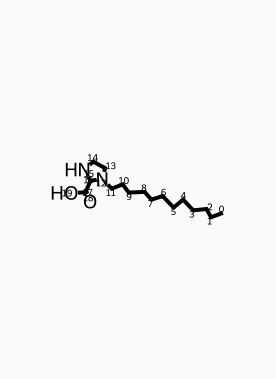 CCCCCCCCCCCCN1CCNC1C(=O)O